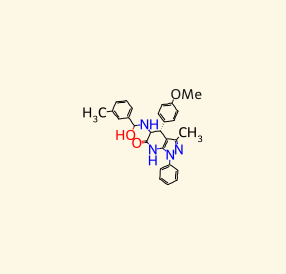 COc1ccc([C@@H]2c3c(C)nn(-c4ccccc4)c3NC(=O)[C@H]2NC(O)c2cccc(C)c2)cc1